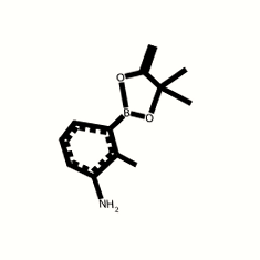 C=C1OB(c2cccc(N)c2C)OC1(C)C